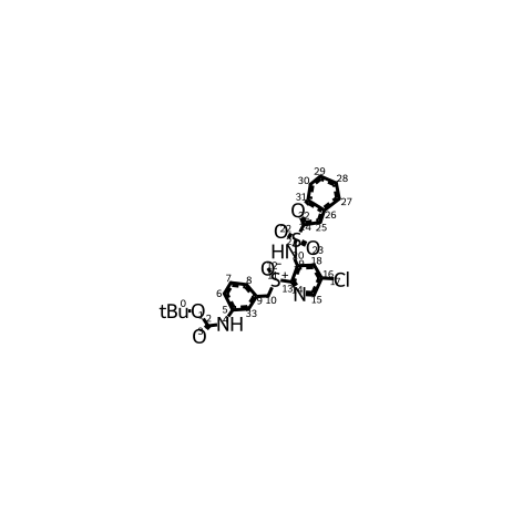 CC(C)(C)OC(=O)Nc1cccc(C[S+]([O-])c2ncc(Cl)cc2NS(=O)(=O)c2cc3ccccc3o2)c1